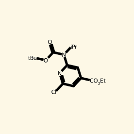 CCOC(=O)c1cc(Cl)nc(N(C(=O)OC(C)(C)C)C(C)C)c1